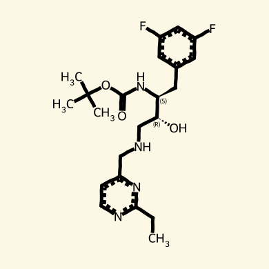 CCc1nccc(CNC[C@@H](O)[C@H](Cc2cc(F)cc(F)c2)NC(=O)OC(C)(C)C)n1